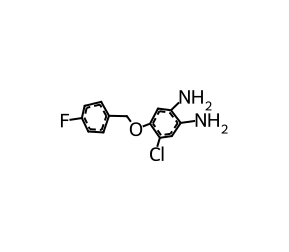 Nc1cc(Cl)c(OCc2ccc(F)cc2)cc1N